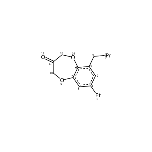 CCc1cc(CC(C)C)c2c(c1)OCC(=O)CO2